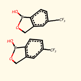 OB1OCc2cc(C(F)(F)F)ccc21.OB1OCc2cc(C(F)(F)F)ccc21